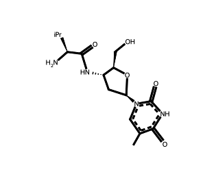 Cc1cn([C@H]2C[C@H](NC(=O)[C@@H](N)C(C)C)[C@@H](CO)O2)c(=O)[nH]c1=O